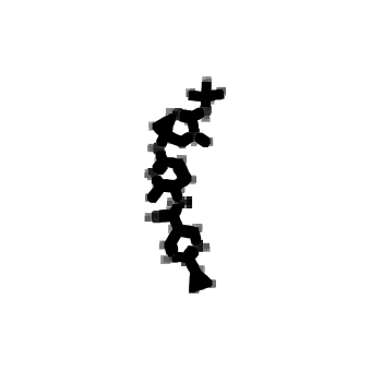 Cc1nc(OC2(CN(C)C(=O)OC(C)(C)C)CC2)ccc1NC(=O)c1cnc(C2CC2)nc1